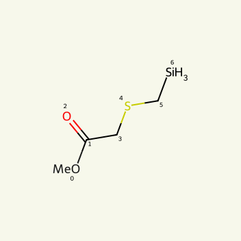 COC(=O)CSC[SiH3]